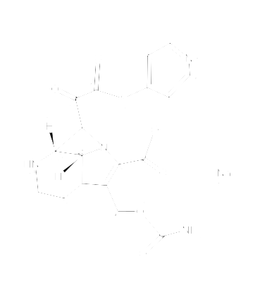 NC(=O)OCC1=C(C(=O)[O-])N2C(C(=O)C(=O)Sc3ccncc3)[C@H]3NCCC1[C@H]32.[Na+]